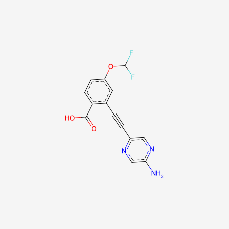 Nc1cnc(C#Cc2cc(OC(F)F)ccc2C(=O)O)cn1